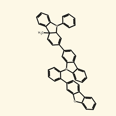 CC12C=CC(c3ccc4c5ccccc5n(-c5ccccc5-c5ccc6c(c5)oc5ccccc56)c4c3)=CC1N(c1ccccc1)c1ccccc12